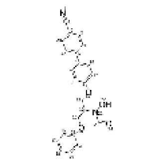 N#Cc1ccc(-c2ccc(OCC(COc3ccccc3)N(O)C=O)cc2)cc1